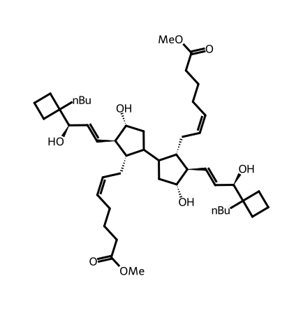 CCCCC1([C@H](O)/C=C/[C@H]2[C@H](O)CC(C3C[C@@H](O)[C@H](/C=C/[C@@H](O)C4(CCCC)CCC4)[C@H]3C/C=C\CCCC(=O)OC)[C@@H]2C/C=C\CCCC(=O)OC)CCC1